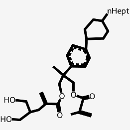 C=C(C)C(=O)OCC(C)(COC(=O)C(=C)CC(CO)CO)c1ccc(C2CCC(CCCCCCC)CC2)cc1